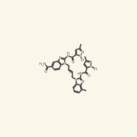 CCn1nc(C)cc1C(=O)Nc1nc2cc(C(N)=O)ccc2n1C/C=C/Cn1c(NC(=O)c2cc(C)nn2CC)nc2c(C)cccc21